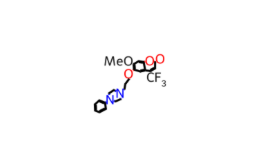 COc1cc2oc(=O)cc(C(F)(F)F)c2cc1OCCCN1CCN(c2ccccc2)CC1